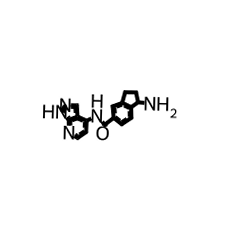 NC1CCc2cc(C(=O)Nc3ccnc4[nH]ncc34)ccc21